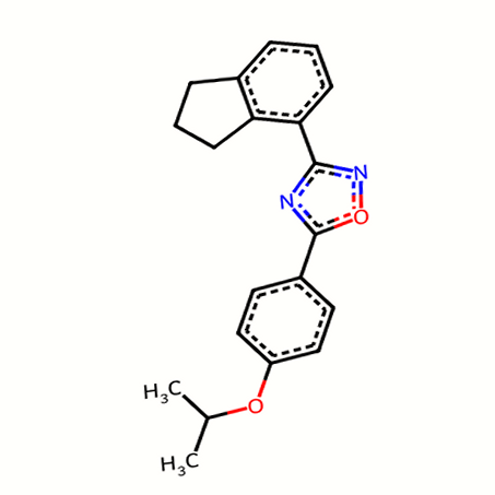 CC(C)Oc1ccc(-c2nc(-c3cccc4c3CCC4)no2)cc1